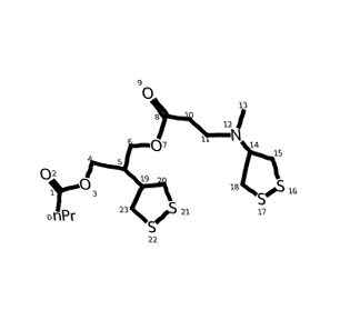 CCCC(=O)OCC(COC(=O)CCN(C)C1CSSC1)C1CSSC1